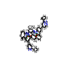 N#Cc1cc(-n2c3ccccc3c3cc(-c4ccnc(-c5ccccc5)c4)ccc32)c(-c2c(F)cccc2F)c(-n2c3ccccc3c3cc(-c4ccnc(-c5ccccc5)c4)ccc32)c1